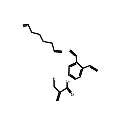 C=C(CF)C(=O)O.C=CCCCCC=C.C=Cc1ccccc1C=C